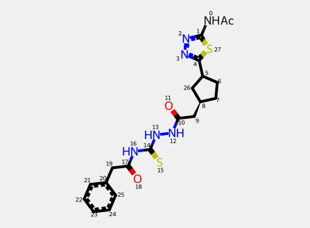 CC(=O)Nc1nnc(C2CC[C@@H](CC(=O)NNC(=S)NC(=O)Cc3ccccc3)C2)s1